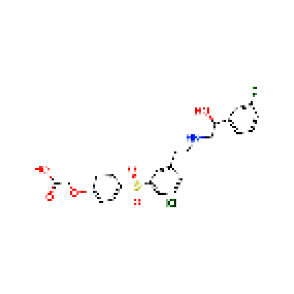 Cl.O=C(O)COc1ccc(S(=O)(=O)c2cccc(CCNC[C@@H](O)c3cccc(Cl)c3)c2)cc1